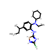 CCC(CC(=O)O)c1ccc(N(CC(C)C)C2CCCCC2)c(Nc2nc(Cl)ns2)c1